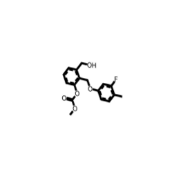 COC(=O)Oc1cccc(CO)c1COc1ccc(C)c(F)c1